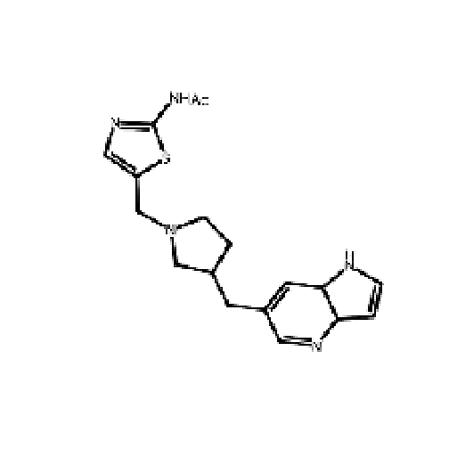 CC(=O)Nc1ncc(CN2CCC(CC3=CC4NC=CC4N=C3)C2)s1